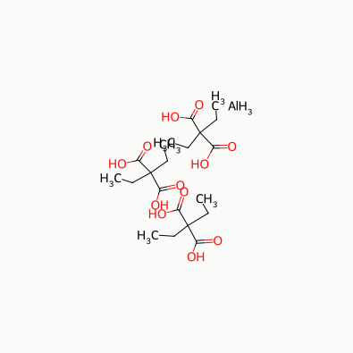 CCC(CC)(C(=O)O)C(=O)O.CCC(CC)(C(=O)O)C(=O)O.CCC(CC)(C(=O)O)C(=O)O.[AlH3]